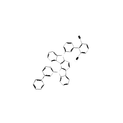 N#Cc1cccc(C#N)c1-c1cccc(-n2c3ccccc3c3c2ccc2c4ccccc4n(-c4cccc(-c5ccccc5)c4)c23)c1